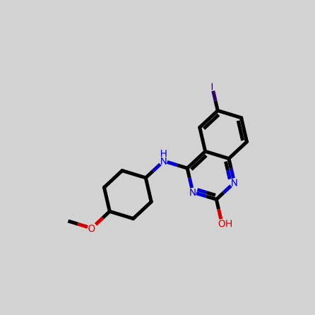 COC1CCC(Nc2nc(O)nc3ccc(I)cc23)CC1